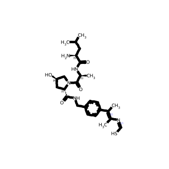 CC(/N=C\S)=C(/C)c1ccc(CNC(=O)[C@@H]2C[C@@H](O)CN2C(=O)[C@H](C)NC(=O)[C@@H](N)CC(C)C)cc1